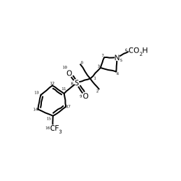 CC(C)(C1CN(C(=O)O)C1)S(=O)(=O)c1cccc(C(F)(F)F)c1